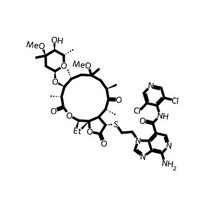 CC[C@H]1OC(=O)[C@H](C)[C@@H](O[C@H]2C[C@@](C)(OC)[C@@H](O)[C@H](C)O2)[C@H](C)CC(C)(OC)C[C@@H](C)C(=O)[C@H](C)C2[C@H](SCCn3cnc4c(N)ncc(C(=O)Nc5c(Cl)cncc5Cl)c43)C(=O)O[C@@]21C